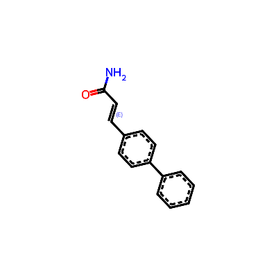 NC(=O)/C=C/c1ccc(-c2ccccc2)cc1